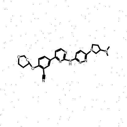 CN(C)C1CCN(c2ccc(Nc3nccc(-c4ccc(OC5CCOCC5)c(C#N)c4)n3)nn2)C1